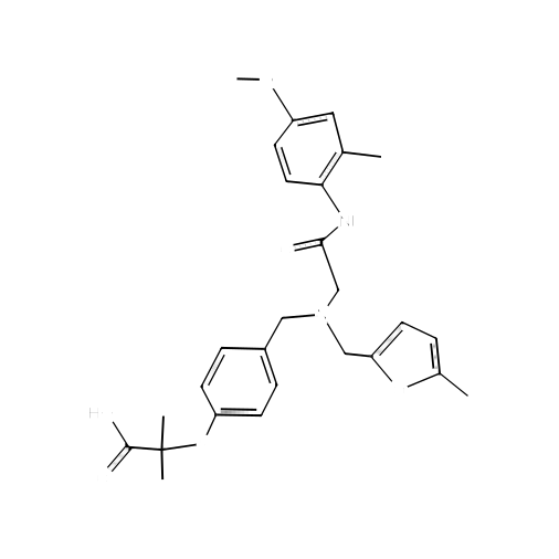 COc1ccc(NC(=O)CN(Cc2ccc(SC(C)(C)C(=O)O)cc2)Cc2ccc(C)o2)c(C)c1